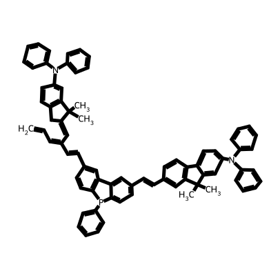 C=C/C=C(/C=C/c1ccc2c(c1)c1cc(/C=C/c3ccc4c(c3)C(C)(C)c3cc(N(c5ccccc5)c5ccccc5)ccc3-4)ccc1p2-c1ccccc1)\C=C1/Cc2ccc(N(c3ccccc3)c3ccccc3)cc2C1(C)C